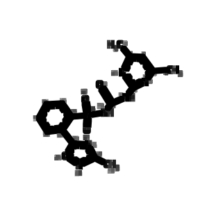 Cc1cc(C)nc(NC(=O)NS(=O)(=O)c2ccccc2-c2nc(C)no2)n1